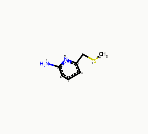 CSCc1cccc(N)n1